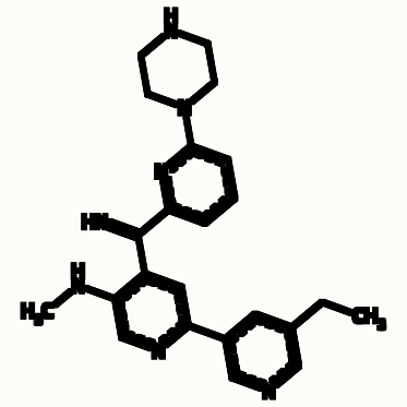 CCc1cncc(-c2cc(C(=N)c3cccc(N4CCNCC4)n3)c(NC)cn2)c1